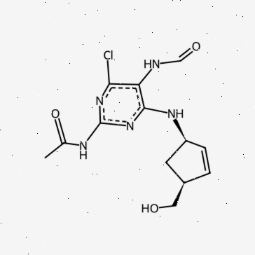 CC(=O)Nc1nc(Cl)c(NC=O)c(N[C@H]2C=C[C@@H](CO)C2)n1